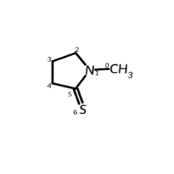 CN1CCCC1=S